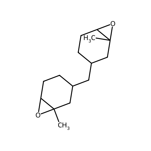 CC12CC(CC3CCC4OC4(C)C3)CCC1O2